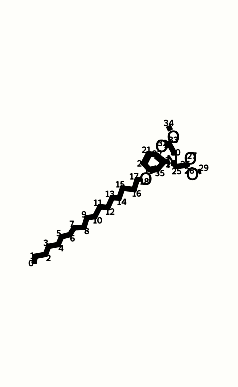 CCCCCCCCCCCCCCCCCCOc1cccc(N(CC(=O)OC)CC(=O)OC)c1